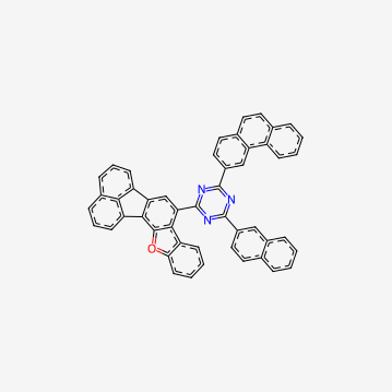 c1ccc2cc(-c3nc(-c4ccc5ccc6ccccc6c5c4)nc(-c4cc5c(c6oc7ccccc7c46)-c4cccc6cccc-5c46)n3)ccc2c1